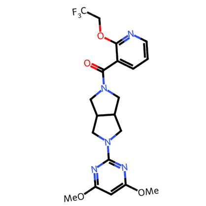 COc1cc(OC)nc(N2CC3CN(C(=O)c4cccnc4OCC(F)(F)F)CC3C2)n1